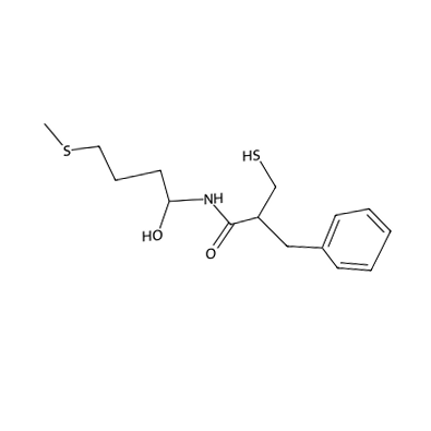 CSCCCC(O)NC(=O)C(CS)Cc1ccccc1